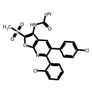 CCCC(=O)Nc1c(S(C)(=O)=O)oc2nc(-c3ccccc3Cl)c(-c3ccc(Cl)cc3)cc12